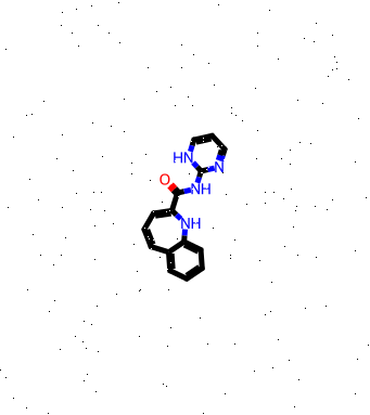 O=C(NC1N=CC=CN1)C1=CC=Cc2ccccc2N1